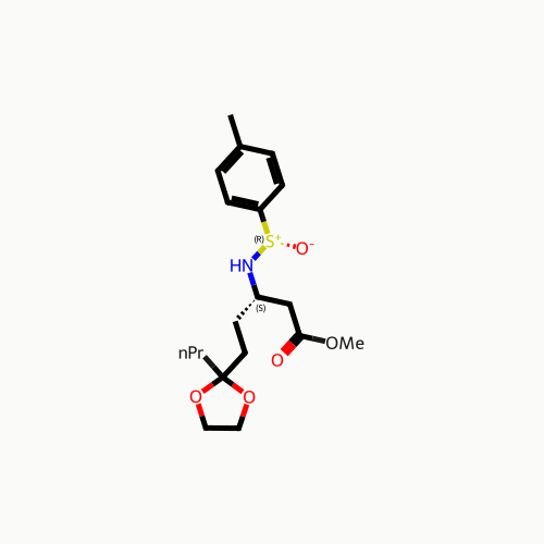 CCCC1(CC[C@@H](CC(=O)OC)N[S@@+]([O-])c2ccc(C)cc2)OCCO1